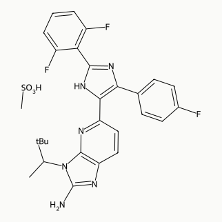 CC(n1c(N)nc2ccc(-c3[nH]c(-c4c(F)cccc4F)nc3-c3ccc(F)cc3)nc21)C(C)(C)C.CS(=O)(=O)O